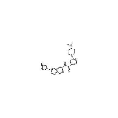 CN(C)C1CCN(c2cc(C(=O)Nc3cc4cc(-c5cnn(C)c5)ccc4cn3)ccn2)CC1